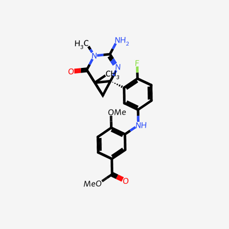 COC(=O)c1ccc(OC)c(Nc2ccc(F)c([C@]34CC3(C)C(=O)N(C)C(N)=N4)c2)c1